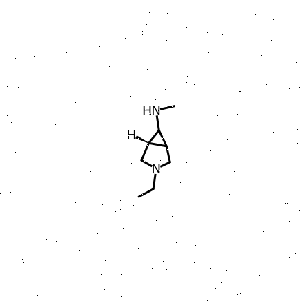 CCN1CC2C(NC)[C@H]2C1